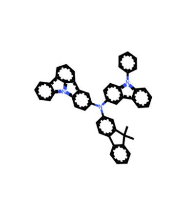 CC1(C)c2ccccc2-c2ccc(N(c3ccc4c(c3)c3ccccc3n4-c3ccccc3)c3ccc4c(c3)c3cccc5c6ccccc6n4c53)cc21